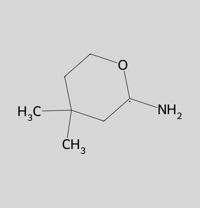 CC1(C)CCO[C](N)C1